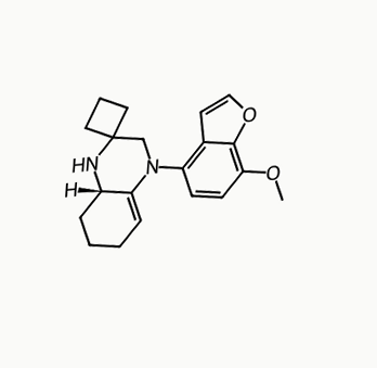 COc1ccc(N2CC3(CCC3)N[C@H]3CCCC=C32)c2ccoc12